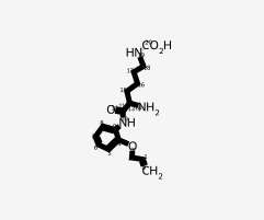 C=CCOc1ccccc1NC(=O)C(N)CCCCNC(=O)O